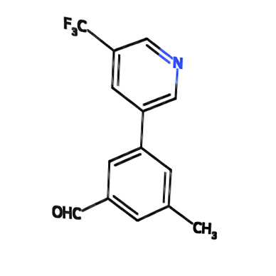 Cc1cc(C=O)cc(-c2cncc(C(F)(F)F)c2)c1